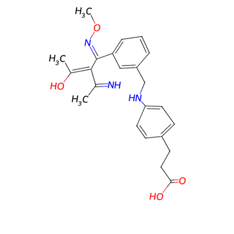 CO/N=C(/C(C(C)=N)=C(\C)O)c1cccc(CNc2ccc(CCC(=O)O)cc2)c1